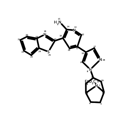 CCOC(=O)N1C2CCC1CC(n1cc(-c3cnc(N)c(-c4nc5ccccc5s4)c3)cn1)C2